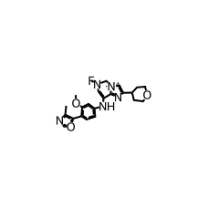 COc1cc(NC2=CN(F)C[N+]3C=C(C4CCOCC4)N=C23)ccc1-c1ocnc1C